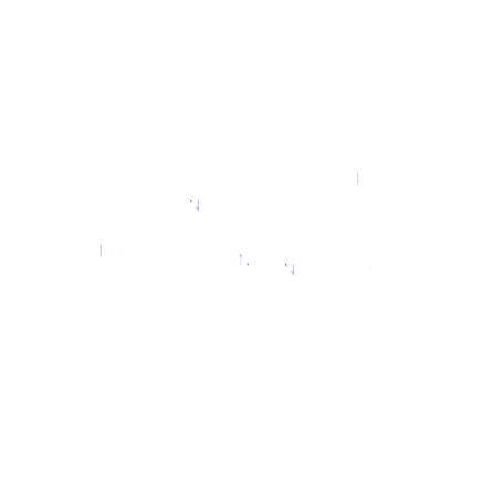 Cc1nc2sc(C3(F)CC3)nn2c1I